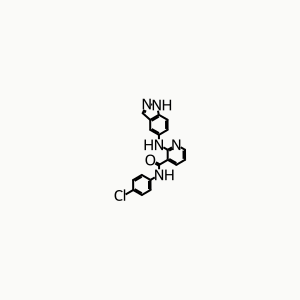 O=C(Nc1ccc(Cl)cc1)c1cccnc1Nc1ccc2[nH]ncc2c1